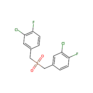 O=S(=O)(Cc1ccc(F)c(Cl)c1)Cc1ccc(F)c(Cl)c1